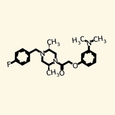 C[C@@H]1CN(C(=O)COc2cccc(N(C)C)c2)[C@@H](C)CN1Cc1ccc(F)cc1